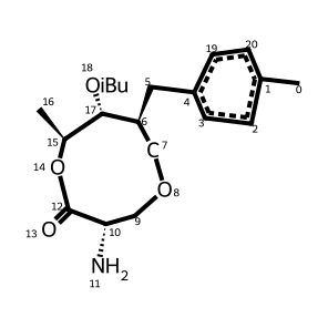 Cc1ccc(C[C@H]2COC[C@H](N)C(=O)O[C@@H](C)[C@@H]2OCC(C)C)cc1